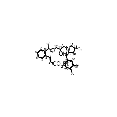 CCOC(=O)/C=C/c1ccccc1[C@@H](C)OC[C@H](O)CN1C[C@@H](C)C[C@H]1Cc1ccc(C)c(F)c1